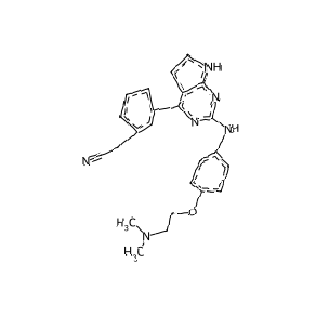 CN(C)CCOc1ccc(Nc2nc(-c3cccc(CC#N)c3)c3cc[nH]c3n2)cc1